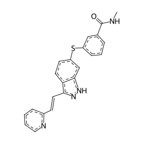 CNC(=O)c1cccc(Sc2ccc3c(/C=C/c4ccccn4)n[nH]c3c2)c1